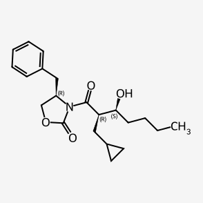 CCCC[C@H](O)[C@@H](CC1CC1)C(=O)N1C(=O)OC[C@H]1Cc1ccccc1